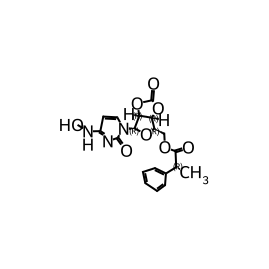 C[C@@H](C(=O)OC[C@H]1O[C@@H](n2ccc(NO)nc2=O)[C@@H]2OC(=O)O[C@@H]21)c1ccccc1